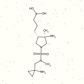 CN(CC1(N)CC1)S(=O)(=O)N1C[C@H](CCCB(O)O)[C@@](C)(N)C1